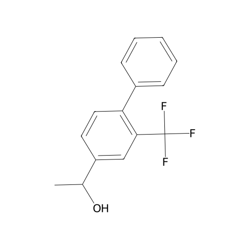 CC(O)c1ccc(-c2ccccc2)c(C(F)(F)F)c1